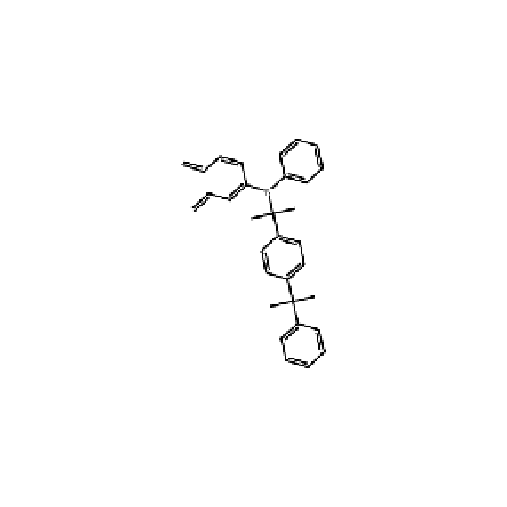 C=C/C=C\C(=C/C=C)N(c1ccccc1)C(C)(C)c1ccc(C(C)(C)c2ccccc2)cc1